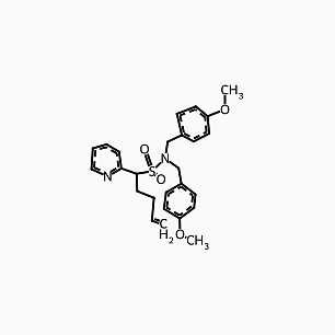 C=CCCC(c1ccccn1)S(=O)(=O)N(Cc1ccc(OC)cc1)Cc1ccc(OC)cc1